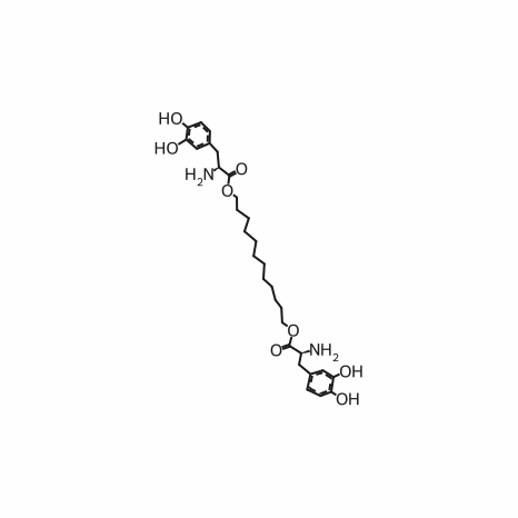 N[C@@H](Cc1ccc(O)c(O)c1)C(=O)OCCCCCCCCCCCCOC(=O)[C@@H](N)Cc1ccc(O)c(O)c1